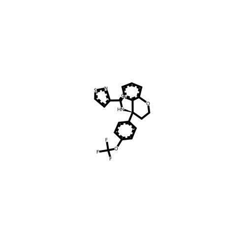 O=C(N[C@]1(c2ccc(OC(F)(F)F)cc2)CCOc2cccnc21)c1ccsn1